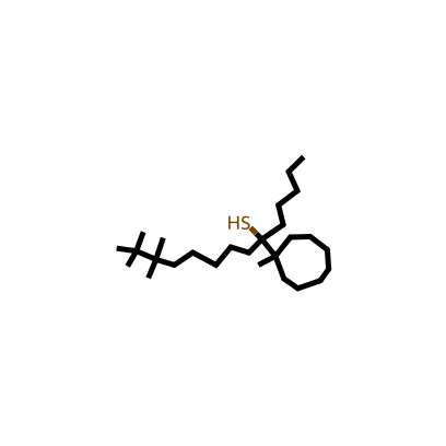 CCCCCC(S)(CCCCCC(C)(C)C(C)(C)C)C1(C)CCCCCCC1